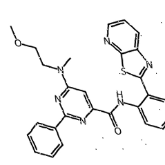 COCCN(C)c1cc(C(=O)Nc2ccccc2-c2nc3cccnc3s2)nc(-c2ccccc2)n1